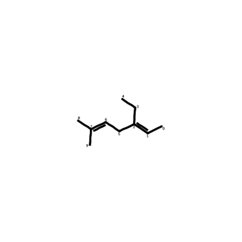 C/C=C(\CC)CC=C(C)C